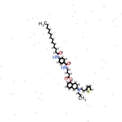 CCCCCCCCCCCCCC(=O)Nc1ccc(C(=O)NCCCC(=O)Oc2cccc3c2CC[C@H](N(CCC)CCc2cccs2)C3)cc1